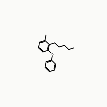 CCCCCc1c(Oc2ccccc2)[c]ccc1C